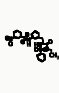 CCOC(=O)C(Cc1cccc(NS(=O)(=O)c2cccc([N+](=O)[O-])c2)c1)NS(=O)(=O)c1ccccc1